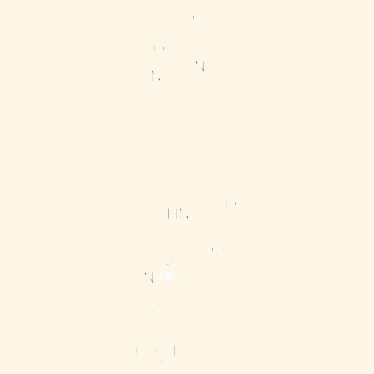 CC(/B=N/OCC(=O)O)NC(=O)c1ccc(-c2noc(C(F)(F)F)n2)cc1